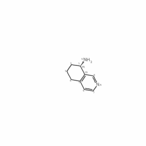 N[C@@H]1CCCc2ccncc21